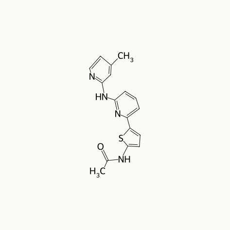 CC(=O)Nc1ccc(-c2cccc(Nc3cc(C)ccn3)n2)s1